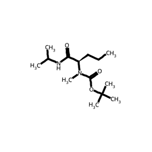 CCC[C@H](C(=O)NC(C)C)N(C)C(=O)OC(C)(C)C